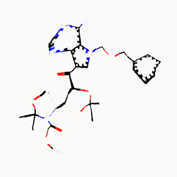 CC(C)(C)OC(=O)N1[C@@H]([C@H]2OC(C)(C)OC2C(=O)c2cn(COCc3ccccc3)c3c(N)ncnc23)COC1(C)C